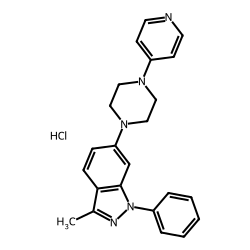 Cc1nn(-c2ccccc2)c2cc(N3CCN(c4ccncc4)CC3)ccc12.Cl